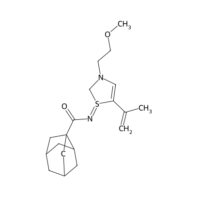 C=C(C)C1=CN(CCOC)C/S1=N\C(=O)C12CC3CC(CC1C3)C2